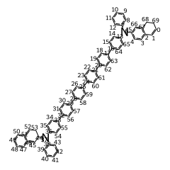 C1=Cc2ccc(N(c3ccccc3)c3ccc(-c4ccc(-c5ccc(-c6ccc(-c7ccc(-c8ccc(N(c9ccccc9)C9C=c%10ccccc%10=CC9)cc8)cc7)cc6)cc5)cc4)cc3)cc2CC1